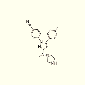 Cc1ccc(-c2cc(N(C)[C@@H]3CCNC3)nn2-c2ccc(C#N)cc2)cc1